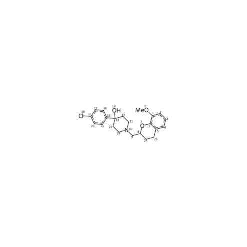 COc1cccc2c1OC(CN1CCC(O)(c3ccc(Cl)cc3)CC1)CC2